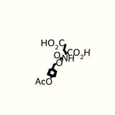 CC(=O)Oc1ccc(COC(=O)NC(CCC(=O)O)C(=O)O)cc1